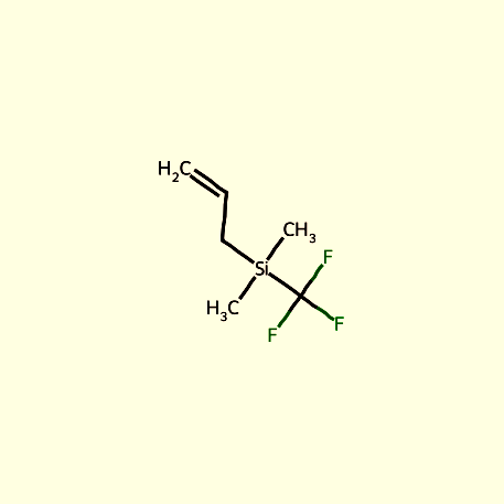 C=CC[Si](C)(C)C(F)(F)F